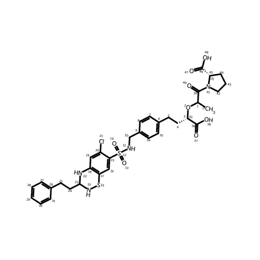 CC(O[C@@H](CCc1ccc(CNS(=O)(=O)c2cc3c(cc2Cl)NC(CCc2ccccc2)NS3)cc1)C(=O)O)C(=O)N1CCC[C@H]1C(=O)O